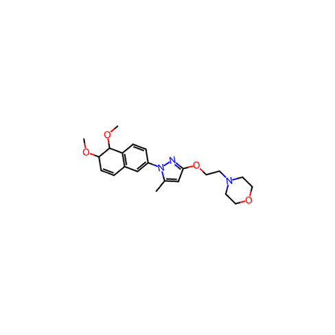 COC1C=Cc2cc(-n3nc(OCCN4CCOCC4)cc3C)ccc2C1OC